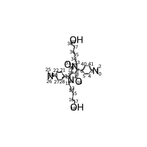 CN(C)c1ccc(C2=C3C(=O)N(CCCCCCO)C(c4ccc(N(C)C)cc4)=C3C(=O)N2CCCCCCO)cc1